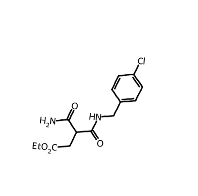 CCOC(=O)CC(C(N)=O)C(=O)NCc1ccc(Cl)cc1